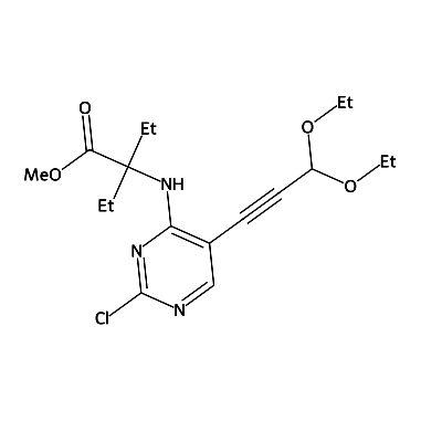 CCOC(C#Cc1cnc(Cl)nc1NC(CC)(CC)C(=O)OC)OCC